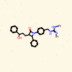 CC(C)/N=C(\NCc1ccc(N2C(=O)C(CCC(O)c3ccccc3)C2c2ccccc2)cc1)NC(C)C